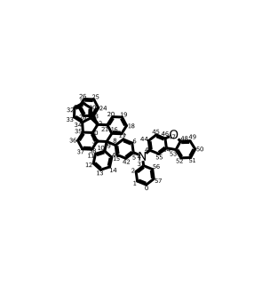 c1ccc(N(c2ccc(C3(c4ccccc4)c4ccccc4C4(c5ccccc5)c5ccccc5-c5cccc3c54)cc2)c2ccc3oc4ccccc4c3c2)cc1